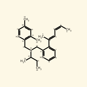 C/C=C\C=C(/C)c1cccnc1CN(Cc1ncc(C)cc1C)C(C)CC